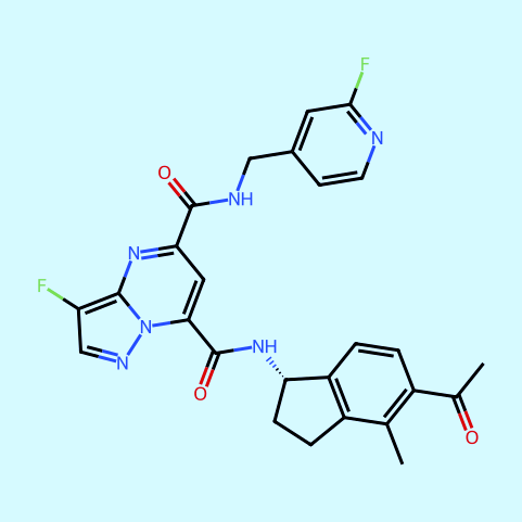 CC(=O)c1ccc2c(c1C)CC[C@@H]2NC(=O)c1cc(C(=O)NCc2ccnc(F)c2)nc2c(F)cnn12